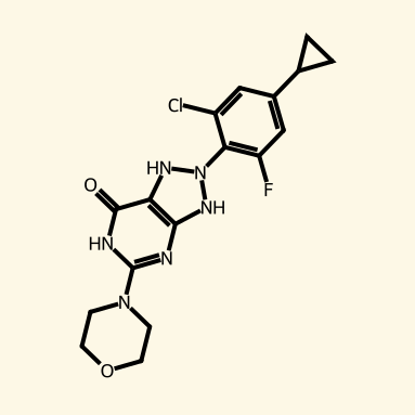 O=c1[nH]c(N2CCOCC2)nc2c1NN(c1c(F)cc(C3CC3)cc1Cl)N2